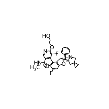 CNC(=O)c1cnc(OCCO)c(F)c1-c1c(Cl)c(F)cc2c1C[C@](c1ccccc1)([C@@H]1CC3(CC3)CN1)O2